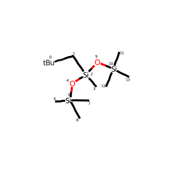 CC(C)(C)C[Si](C)(O[Si](C)(C)C)O[Si](C)(C)C